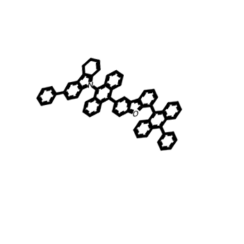 C1=Cc2c(c3cc(-c4ccccc4)ccc3n2-c2c3ccccc3c(-c3ccc4oc5c(-c6c7ccccc7c(-c7ccccc7)c7ccccc67)cccc5c4c3)c3ccccc23)CC1